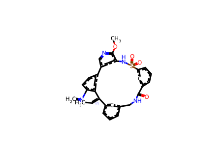 C=Nc1ccc2cc1/C(=C\C)c1cccc(c1)CNC(=O)c1cccc(c1)S(=O)(=O)Nc1cc-2cnc1OC